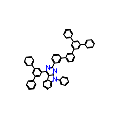 c1ccc(-c2cc(-c3ccccc3)cc(-c3cccc(-c4cccc(-c5nc(-c6cc(-c7ccccc7)cc(-c7ccccc7)c6)c6c7ccccc7n(-c7ccccc7)c6n5)c4)c3)c2)cc1